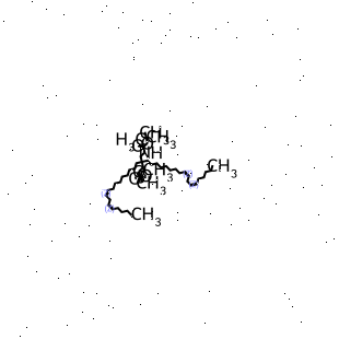 CCCCC/C=C\C/C=C\CCCCCCCCC(CCCCCCCC/C=C\C/C=C\CCCCC)(CNC(=O)OC(C)(C)C)C(C)OS(C)(=O)=O